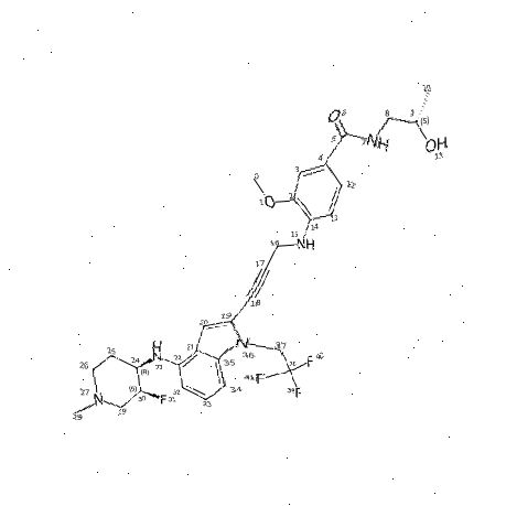 COc1cc(C(=O)NC[C@H](C)O)ccc1NCC#Cc1cc2c(N[C@@H]3CCN(C)C[C@@H]3F)cccc2n1CC(F)(F)F